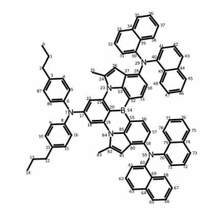 CCCc1ccc(N(c2ccc(CCC)cc2)c2cc3c4c(c2)-n2c(C)cc5c(N(c6cccc7ccccc67)c6cccc7ccccc67)ccc(c52)B4c2ccc(N(c4cccc5ccccc45)c4cccc5ccccc45)c4cc(C)n-3c24)cc1